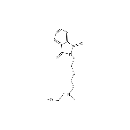 CN(CCO)CCOCCN1C(=O)c2ccccc2C1=O